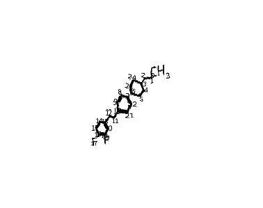 CCC[C@H]1CC[C@H](c2ccc(CCc3ccc(F)c(F)c3)cc2)CC1